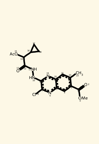 COC(=O)c1cc2nc(Cl)c(NNC(=O)C(OC(C)=O)C3CC3)nc2cc1C